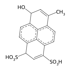 CC1=CC(O)c2ccc3c4c(ccc1c24)C(S(=O)(=O)O)=CC3S(=O)(=O)O